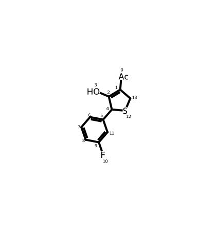 CC(=O)C1=C(O)C(c2cccc(F)c2)SC1